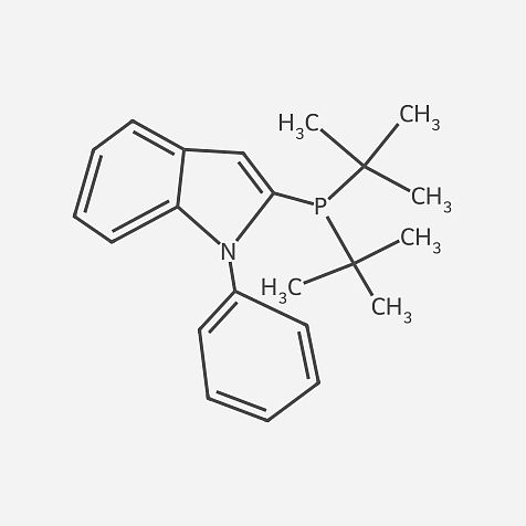 CC(C)(C)P(c1cc2ccccc2n1-c1ccccc1)C(C)(C)C